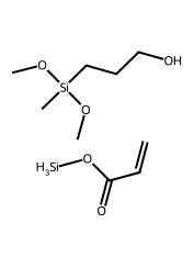 C=CC(=O)O[SiH3].CO[Si](C)(CCCO)OC